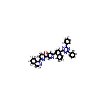 c1ccc(-c2nc(-c3ccccc3)nc(-c3ccc(-c4cc5oc6ccc(-c7nccc8ccccc78)nc6c5cn4)c4ccccc34)n2)cc1